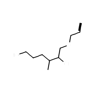 C=CCOCC(O)[C](C)CCCO